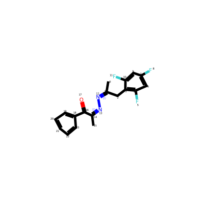 C/C(Cc1c(F)cc(F)cc1F)=N/N=C(/C)C(=O)c1ccccc1